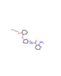 CCCCOc1ccccc1Oc1cccc(CNC(=O)c2cccnc2N)c1